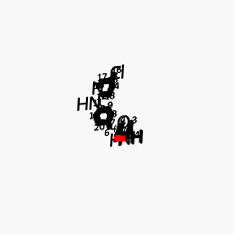 C[C@@H]1[C@H]2CO[C@]1(Cc1ccc(Nc3ccc(Cl)cn3)cc1)CN2